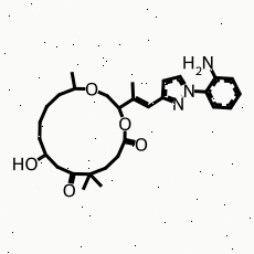 C/C(=C\c1ccn(-c2ccccc2N)n1)C1COC(C)CCCCC(O)CC(=O)C(C)(C)CCC(=O)O1